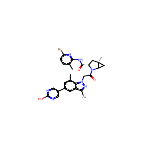 CC(=O)c1nn(CC(=O)N2C3C[C@]3(C)C[C@H]2C(=O)Nc2nc(Br)ccc2C)c2c(C)cc(-c3cnc(O)nc3)cc12